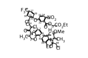 CC1COc2ccccc2N1C(=O)C(Cl)Cl.CCOC(=O)COC(=O)c1cc(Oc2ccc(C(F)(F)F)cc2Cl)ccc1[N+](=O)[O-].CCc1cccc(C)c1N(C(=O)CCl)C(C)COC